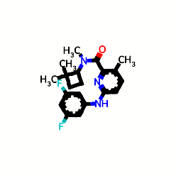 Cc1ccc(Nc2cc(F)cc(F)c2)nc1C(=O)N(C)C1CCC1(C)C